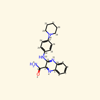 NC(=O)c1nc2ccccc2nc1Nc1ccc(N2CCCCC2)cc1